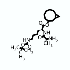 C[C@H](N)C(=O)N[C@@H](CCCCNC(=O)OC(C)(C)C)C(=O)OC1CCCCCC2CC2C1